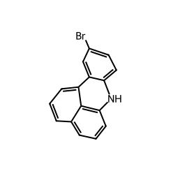 Brc1ccc2c(c1)-c1cccc3cccc(c13)N2